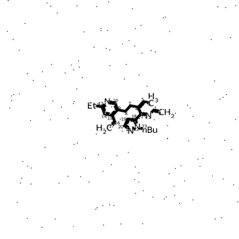 C=C/N=C(\C(=C/C)CCc1cnc(CC)cc1C=C)c1ccnn1CCCC